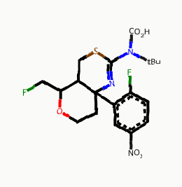 CC(C)(C)N(C(=O)O)C1=NC2(c3cc([N+](=O)[O-])ccc3F)CCOC(CF)C2CS1